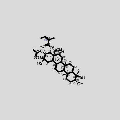 C/C=C(/C)C(=O)O[C@H]1[C@H](OC(C)=O)[C@@](O)(S)CC2C3=CCC4[C@@]5(C)CC[C@H](O)[C@@](C)(S)C5CC[C@@]4(C)[C@]3(S)C[C@@H](O)[C@]21CO